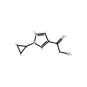 O=C(CCl)c1cnn(C2CC2)c1